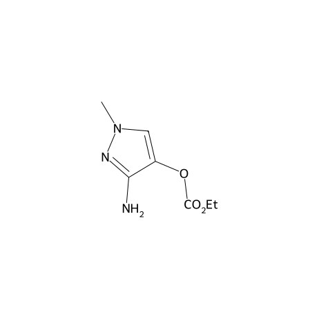 CCOC(=O)Oc1cn(C)nc1N